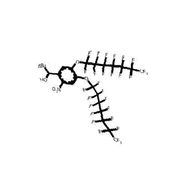 CC(C)(C)C(O)c1cc(OC(F)(F)C(F)(F)C(F)(F)C(F)(F)C(F)(F)C(F)(F)C(F)(F)F)c(OC(F)(F)C(F)(F)C(F)(F)C(F)(F)C(F)(F)C(F)(F)C(F)(F)F)cc1[N+](=O)[O-]